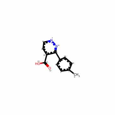 Cc1ccc(-c2nnccc2C(=O)O)cc1